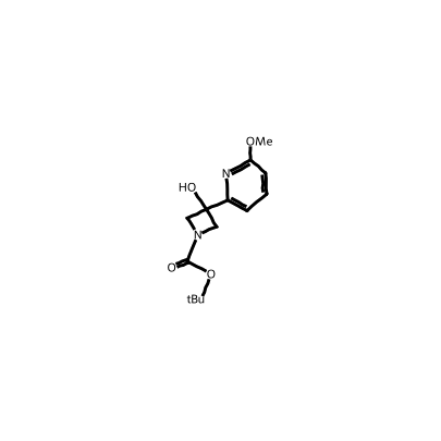 COc1cccc(C2(O)CN(C(=O)OC(C)(C)C)C2)n1